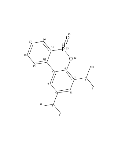 CC(C)c1cc2c(c(C(C)C)c1)O[PH](=O)c1ccccc1-2